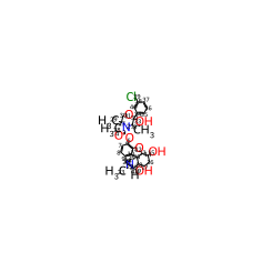 CC1N(C(=O)Oc2ccc3c4c2OC2[C@H](O)CC[C@@]5(O)[C@@H](C3)N(C)CC[C@]425)C(C)(C)COC1(O)c1cccc(Cl)c1